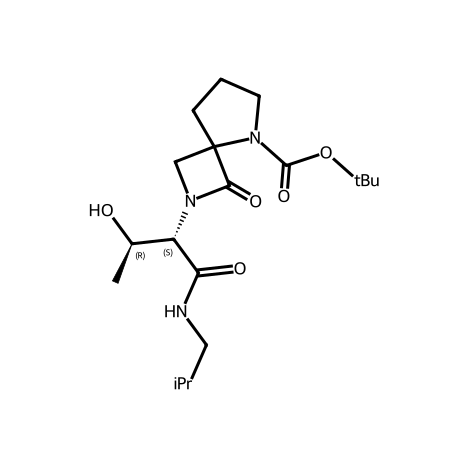 CC(C)CNC(=O)[C@H]([C@@H](C)O)N1CC2(CCCN2C(=O)OC(C)(C)C)C1=O